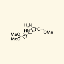 COCCOc1cc(N)c2c(c1)CC(C1=CCC(C(OC)OC)S1)N2